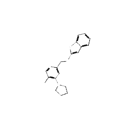 Cc1cnc(CSc2cc3ccccc3[nH]2)cc1N1CCCC1